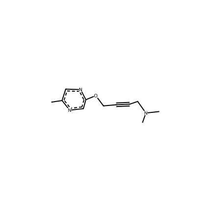 Cc1cnc(OCC#CCN(C)C)cn1